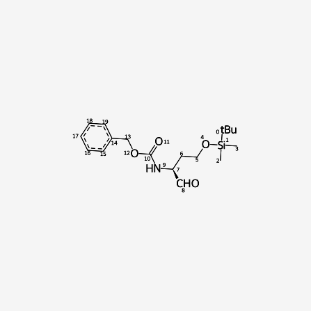 CC(C)(C)[Si](C)(C)OCC[C@@H](C=O)NC(=O)OCc1ccccc1